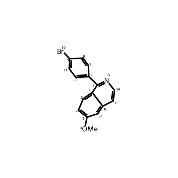 COc1ccc2c(-c3ccc(Br)cc3)nccc2c1